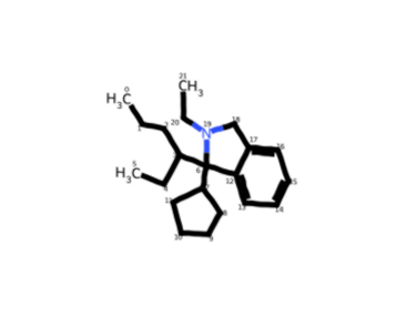 CCCC(CC)C1(C2CCCC2)c2ccccc2CN1CC